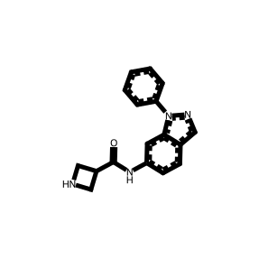 O=C(Nc1ccc2cnn(-c3ccccc3)c2c1)C1CNC1